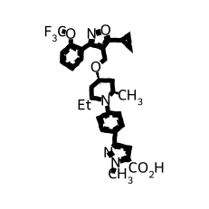 CC[C@H]1C[C@@H](OCc2c(-c3ccccc3OC(F)(F)F)noc2C2CC2)C[C@@H](C)N1c1ccc(-c2cc(C(=O)O)n(C)n2)cc1